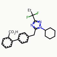 CCC(F)(F)c1nc(Cc2ccc(-c3ccccc3C(=O)O)cc2)n(C2CCCCC2)n1